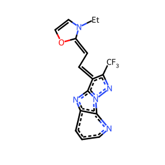 CCN1C=COC1=CC=c1c(C(F)(F)F)nn2c1nc1cccnc12